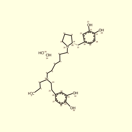 CCCN(CCCCCCN1CCC[C@@H]1Cc1ccc(O)c(O)c1)CCc1ccc(O)c(O)c1.Cl.Cl